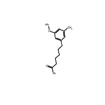 CCCOc1cc(C)cc(CCCCCC(=O)C(C)C)c1